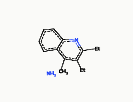 CCc1nc2ccccc2c(C)c1CC.N